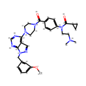 CCOc1cccc(Cn2ncc3c(N4CCN(C(=O)c5ccc(N(CCN(C)C)C(=O)C6CC6)cc5)CC4)ncnc32)c1